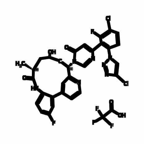 C[C@@H]1CC(O)C[C@H](n2cnc(-c3c(-n4cc(Cl)nn4)ccc(Cl)c3F)cc2=O)c2cc(ccn2)-c2cc(F)ccc2NC1=O.O=C(O)C(F)(F)F